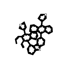 C=Cc1c(/C=C\C)c(-c2ccoc2)c2ccccc2c1-c1cccc2sc3ccc(-c4c5ccccc5c(-c5ccoc5)c5ccccc45)cc3c12